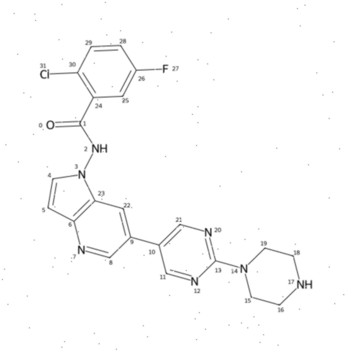 O=C(Nn1ccc2ncc(-c3cnc(N4CCNCC4)nc3)cc21)c1cc(F)ccc1Cl